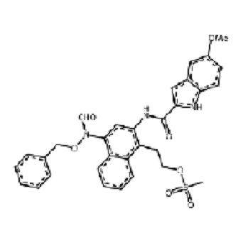 COc1ccc2[nH]c(C(=O)Nc3cc(N(C=O)OCc4ccccc4)c4ccccc4c3CCOS(C)(=O)=O)cc2c1